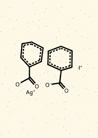 O=C([O-])c1ccccc1.O=C([O-])c1ccccc1.[Ag+].[I+]